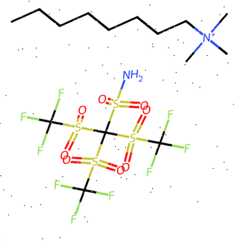 CCCCCCCC[N+](C)(C)C.NS(=O)(=O)C(S(=O)(=O)C(F)(F)F)(S(=O)(=O)C(F)(F)F)S(=O)(=O)C(F)(F)F